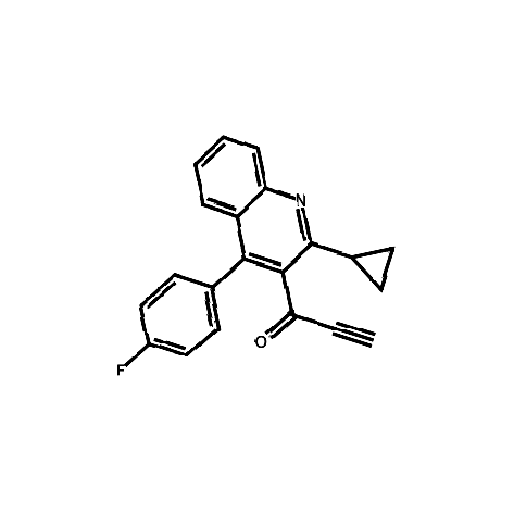 C#CC(=O)c1c(C2CC2)nc2ccccc2c1-c1ccc(F)cc1